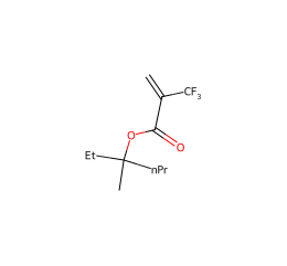 C=C(C(=O)OC(C)(CC)CCC)C(F)(F)F